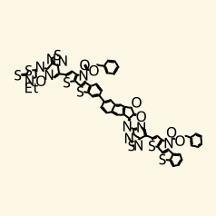 CCN1C(=O)/C(=N\c2ncc(-c3cc4c(s3)c3sc5cc(-c6ccc7cc8/c(=N/c9ncc(-c%10cc%11c(s%10)c%10sc%12ccccc%12c%10n%11C(=O)OCc%10ccccc%10)c%10nsnc9%10)c(=O)c(=O)c8cc7c6)ccc5c3n4C(=O)OCc3ccccc3)c3nsnc23)SC1=S